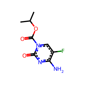 CC(C)OC(=O)n1cc(F)c(N)nc1=O